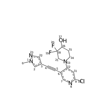 Cn1cc(C#Cc2cnc(Cl)cc2N2CCC(O)C(F)(F)C2)cn1